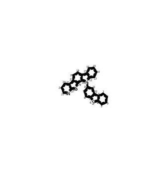 c1ccc2c(c1)sc1ccc(-n3c4ccccc4c4ccc5c6cccnc6sc5c43)cc12